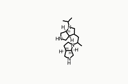 CC(C)N1CC(CC(C)N2CC[C@@H]3CNC[C@@H]32)[C@H]2CNC[C@H]21